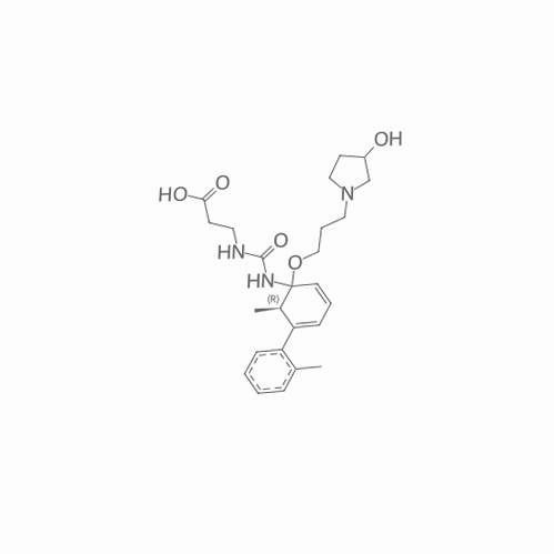 Cc1ccccc1C1=CC=CC(NC(=O)NCCC(=O)O)(OCCCN2CCC(O)C2)[C@@H]1C